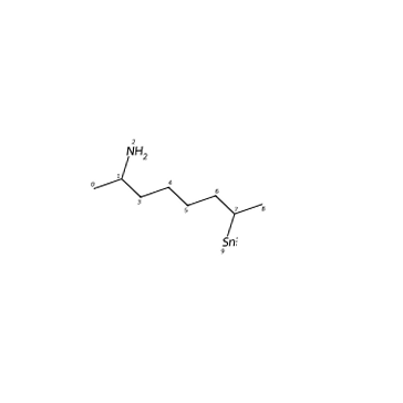 CC(N)CCCC[CH](C)[Sn]